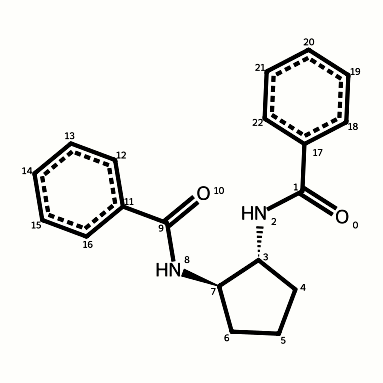 O=C(N[C@@H]1CCC[C@H]1NC(=O)c1ccccc1)c1ccccc1